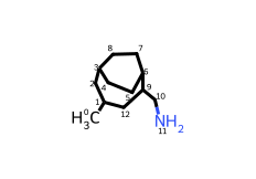 CC1CC2CCC(CC2)C(CN)C1